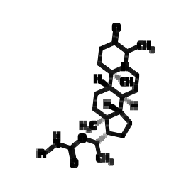 CC(C)NC(=O)OC(C)[C@H]1CC[C@H]2[C@@H]3CCN4C(C)C(=O)CC[C@]4(C)[C@H]3CC[C@]12C